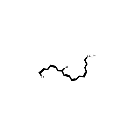 CC/C=C\C/C=C\CC(O)/C=C/C=C\C/C=C\CCCC(=O)OCC